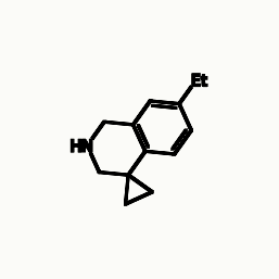 CCc1ccc2c(c1)CNCC21CC1